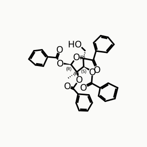 C[C@]1(OC(=O)c2ccccc2)[C@@H](OC(=O)c2ccccc2)O[C@@](CO)(C(=O)c2ccccc2)[C@H]1OC(=O)c1ccccc1